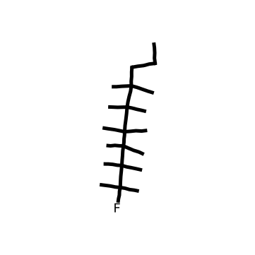 CCCC(C)(C)C(C)(C)C(C)(C)C(C)(C)C(C)(C)C(C)(C)F